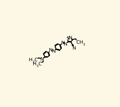 CCc1nsc(/N=N/c2ccc(/N=N/c3ccc(N(CC)CC)cc3)cc2)c1C#N